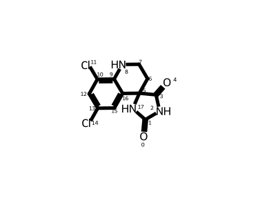 O=C1NC(=O)C2(CCNc3c(Cl)cc(Cl)cc32)N1